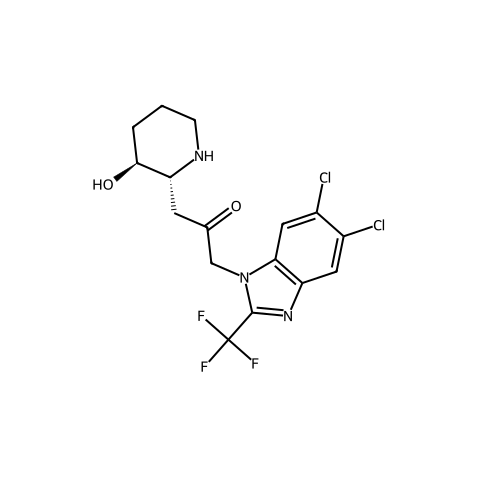 O=C(C[C@H]1NCCC[C@@H]1O)Cn1c(C(F)(F)F)nc2cc(Cl)c(Cl)cc21